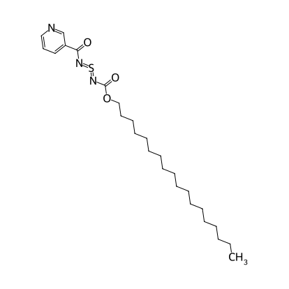 CCCCCCCCCCCCCCCCCCOC(=O)N=S=NC(=O)c1cccnc1